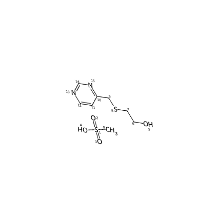 CS(=O)(=O)O.OCCSCc1ccncn1